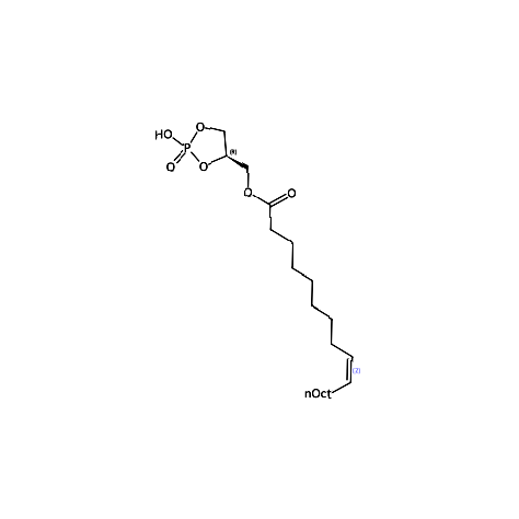 CCCCCCCC/C=C\CCCCCCCC(=O)OC[C@@H]1COP(=O)(O)O1